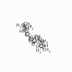 Cc1cc(C)c(CN(C)C(=O)c2cc(Cl)c3c(c2C)O[C@@H]([C@H]2CC[C@@H](NC(=O)OC(C)(C)C)CC2)CO3)c(=O)[nH]1